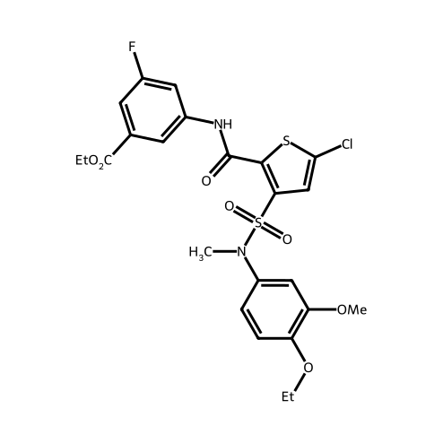 CCOC(=O)c1cc(F)cc(NC(=O)c2sc(Cl)cc2S(=O)(=O)N(C)c2ccc(OCC)c(OC)c2)c1